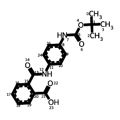 CC(C)(C)OC(=O)Nc1ccc(NC(=O)c2ccccc2C(=O)O)cc1